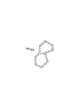 [Na].[Na].c1ccc2ccccc2c1